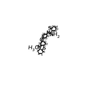 CN1c2ccccc2Sc2ccc(Oc3ccc(N=C(N)C4=CC=CCC4=S)cc3)cc21